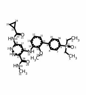 CCP(=O)(CC)c1ccc(-c2cccc(Nc3cc(NC(=O)C4CC4)nnc3C(=O)NC)c2OC)cc1